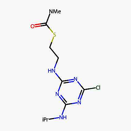 CNC(=O)SCCNc1nc(Cl)nc(NC(C)C)n1